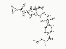 COCC(C)Nc1ccc(S(=O)(=O)Oc2ccc3[nH]c(NC(=O)C4CC4)nc3c2)cc1